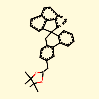 CC1(C)OB(Cc2ccc3c(c2)-c2ccccc2C2(C3)c3cccc4ccc5cccc2c5c34)OC1(C)C